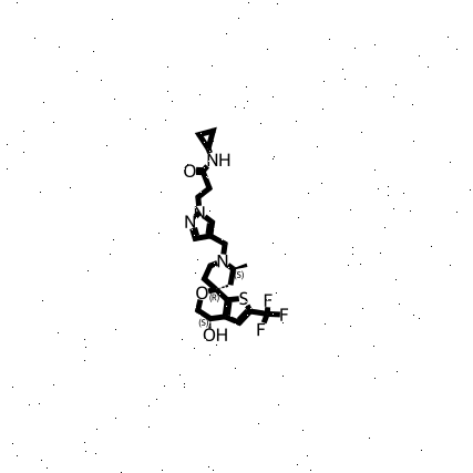 C[C@H]1C[C@@]2(CCN1Cc1cnn(CCC(=O)NC3CC3)c1)OC[C@@H](O)c1cc(C(F)(F)F)sc12